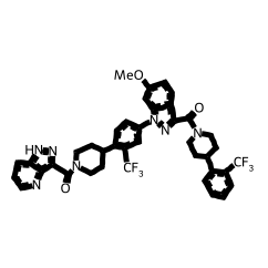 COc1ccc2c(C(=O)N3CCC(c4ccccc4C(F)(F)F)CC3)nn(-c3ccc(C4CCN(C(=O)c5n[nH]c6cccnc56)CC4)c(C(F)(F)F)c3)c2c1